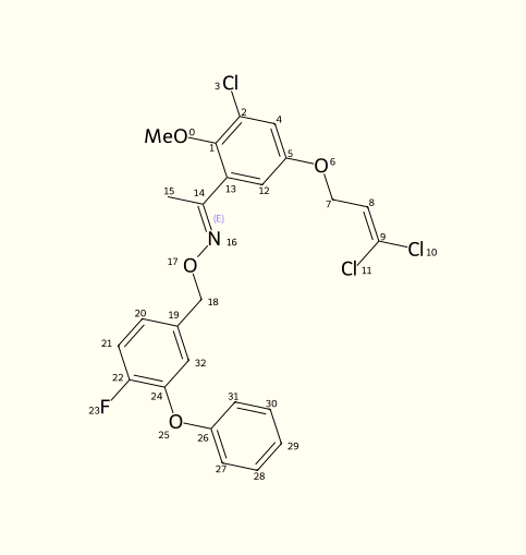 COc1c(Cl)cc(OCC=C(Cl)Cl)cc1/C(C)=N/OCc1ccc(F)c(Oc2ccccc2)c1